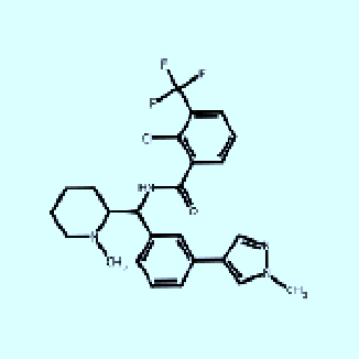 CN1CCCC[C@H]1C(NC(=O)c1cccc(C(F)(F)F)c1Cl)c1cccc(-c2cnn(C)c2)c1